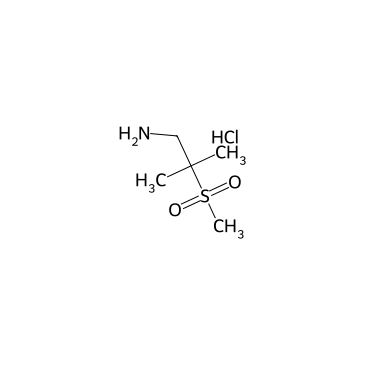 CC(C)(CN)S(C)(=O)=O.Cl